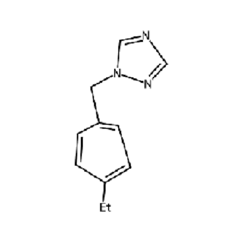 CCc1ccc(Cn2cncn2)cc1